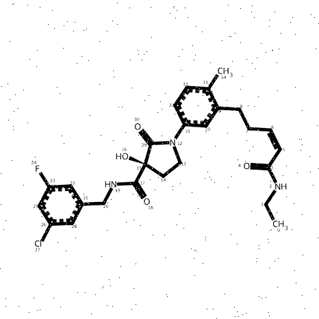 CCNC(=O)/C=C\CCc1cc(N2CC[C@](O)(C(=O)NCc3cc(F)cc(Cl)c3)C2=O)ccc1C